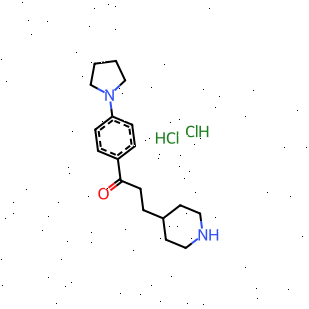 Cl.Cl.O=C(CCC1CCNCC1)c1ccc(N2CCCC2)cc1